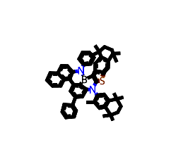 Cc1cc2c(cc1N1c3cc(-c4ccccc4)cc4c3B(c3c1sc1cc5c(cc31)C(C)(C)CCC5(C)C)N(c1ccccc1)c1ccc3ccccc3c1-4)C(C)(C)CCC2(C)C